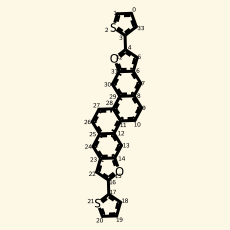 c1csc(-c2cc3cc4ccc5c6cc7oc(-c8cccs8)cc7cc6ccc5c4cc3o2)c1